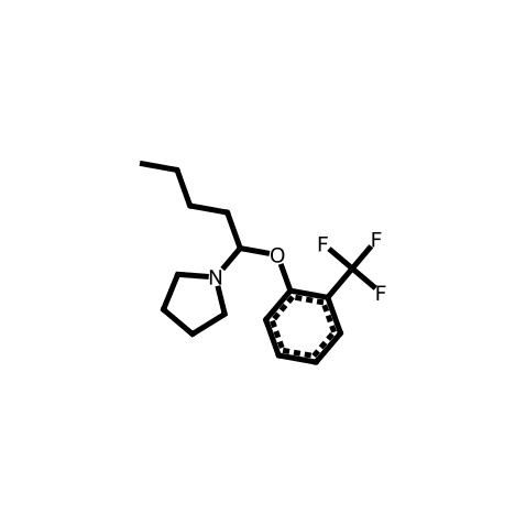 CCCCC(Oc1ccccc1C(F)(F)F)N1CCCC1